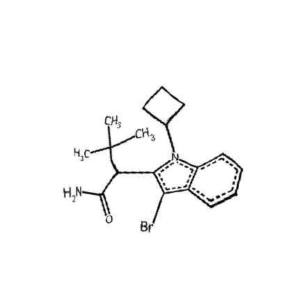 CC(C)(C)C(C(N)=O)c1c(Br)c2ccccc2n1C1CCC1